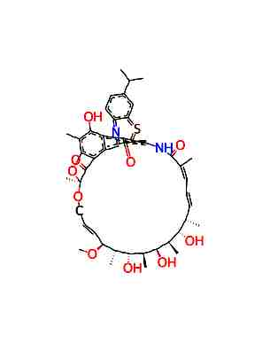 CO[C@H]1/C=C/CO[C@@]2(C)Oc3c(C)c(O)c4c(=O)c(c5sc6cc(C(C)C)ccc6nc-5c4c3C2=O)NC(=O)/C(C)=C\C=C\[C@H](C)[C@H](O)[C@@H](C)[C@@H](O)[C@@H](C)[C@H](O)[C@@H]1C